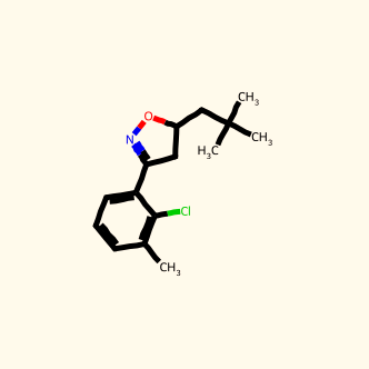 Cc1cccc(C2=NOC(CC(C)(C)C)C2)c1Cl